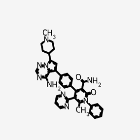 Cc1c(-c2ncccn2)c(-c2ccc(-c3cc(C4CCN(C)CC4)n4ncnc(N)c34)cc2)c(C(N)=O)c(=O)n1-c1ccccc1